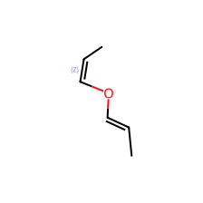 CC=CO/C=C\C